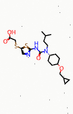 CC(C)CCN(C(=O)Nc1ncc(SCC(=O)O)s1)[C@H]1CC[C@H](OCC2CC2)CC1